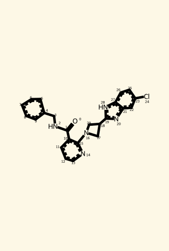 O=C(NCc1ccccc1)c1cccnc1N1CC(c2nc3cc(Cl)ccc3[nH]2)C1